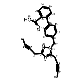 CC#CCc1nc(CC#CC)n(Cc2ccc(-c3ccccc3C(=O)O)cc2)n1